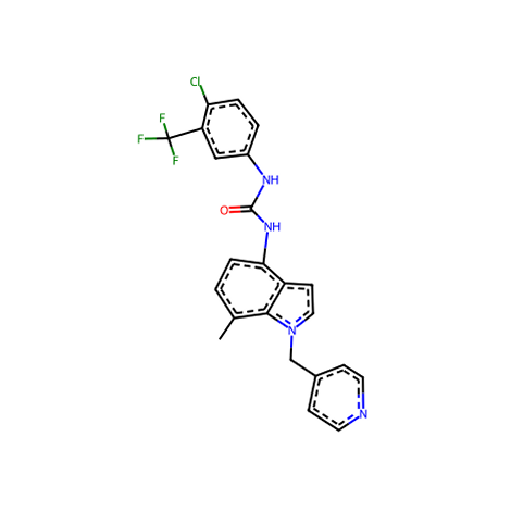 Cc1ccc(NC(=O)Nc2ccc(Cl)c(C(F)(F)F)c2)c2ccn(Cc3ccncc3)c12